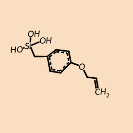 C=CCOc1ccc(C[Si](O)(O)O)cc1